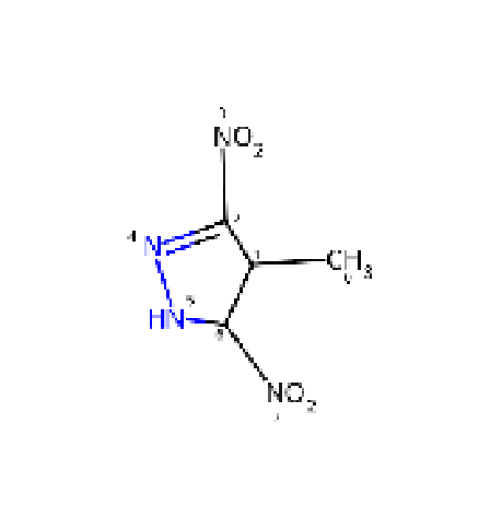 CC1C([N+](=O)[O-])=NNC1[N+](=O)[O-]